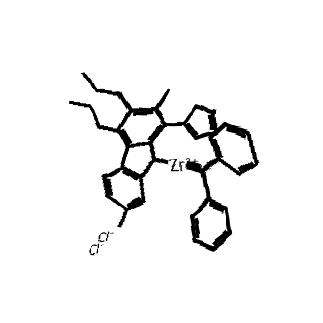 CCCc1c(C)c(C2=CC=CC2)c2c(c1CCC)-c1ccc(C)cc1[CH]2[Zr+2]=[C](c1ccccc1)c1ccccc1.[Cl-].[Cl-]